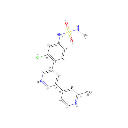 CC(C)NS(=O)(=O)Nc1ccc(-c2cncc(-c3ccnc(C(C)(C)C)c3)c2)c(Cl)c1